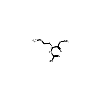 CSCC[C@H](NC(=O)O)C(=O)ON